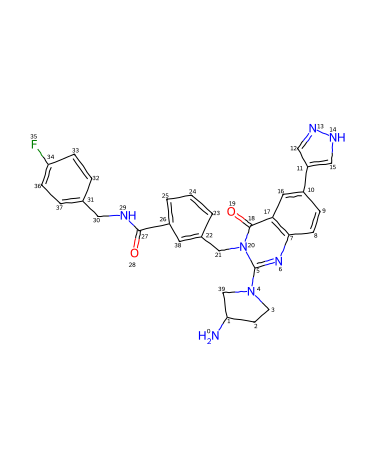 NC1CCN(c2nc3ccc(-c4cn[nH]c4)cc3c(=O)n2Cc2cccc(C(=O)NCc3ccc(F)cc3)c2)C1